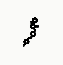 O=C1c2c3ccccc3nn2CCN1CC1CCN(CCc2ccc(F)cc2)CC1